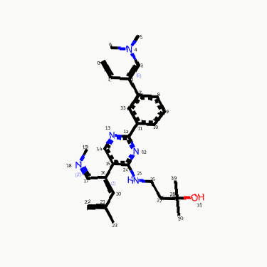 C=C/C(=C\N(C)C)c1cccc(-c2ncc(C(/C=N\C)=C/C(=C)C)c(NCCC(C)(C)O)n2)c1